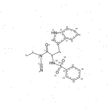 CCN(C#N)C(=O)C(Cc1c[nH]c2ccccc12)NS(=O)(=O)c1ccccc1